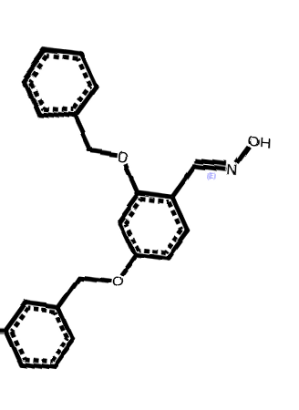 O/N=C/c1ccc(OCc2ccccc2)cc1OCc1ccccc1